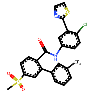 CS(=O)(=O)c1ccc(C(=O)Nc2ccc(Cl)c(-c3nccs3)c2)c(-c2cccc(C(F)(F)F)c2)c1